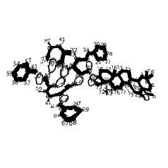 CC(=O)[C@]12CCC(C)(C)CC1C1=CCC3C4(C)CC[C@H](O[C@@H]5OC(Cc6ccccc6)[C@@H](C)[C@H](O[C@@H]6OC[C@@H](C)[C@H](C)C6C)C5O[C@@H]5OC(COCc6ccccc6)[C@H](C)[C@H](C)C5OCc5ccccc5)[C@](C)(C=O)[C@@H]4CC[C@]3(C)[C@]1(C)CC2C